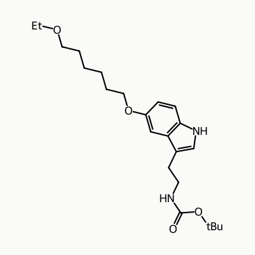 CCOCCCCCCOc1ccc2[nH]cc(CCNC(=O)OC(C)(C)C)c2c1